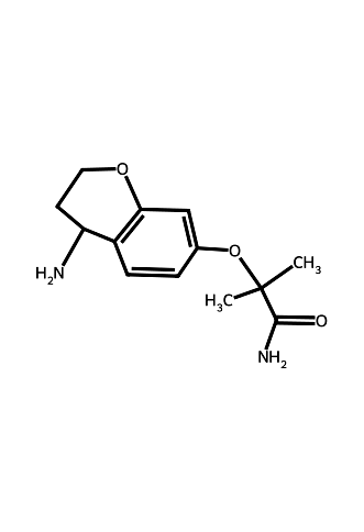 CC(C)(Oc1ccc2c(c1)OCCC2N)C(N)=O